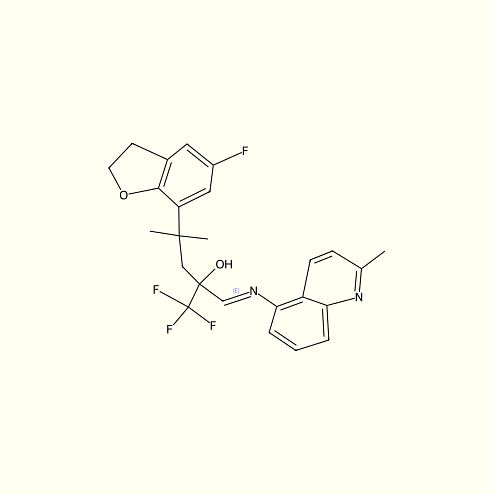 Cc1ccc2c(/N=C/C(O)(CC(C)(C)c3cc(F)cc4c3OCC4)C(F)(F)F)cccc2n1